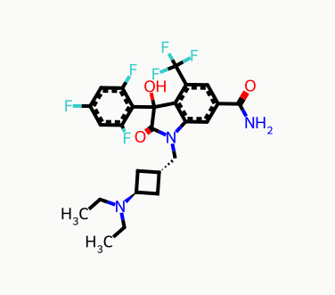 CCN(CC)[C@H]1C[C@H](CN2C(=O)C(O)(c3c(F)cc(F)cc3F)c3c2cc(C(N)=O)cc3C(F)(F)F)C1